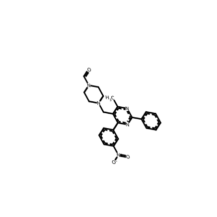 Cc1nc(-c2ccccc2)nc(-c2cccc([N+](=O)[O-])c2)c1CN1CCN(C=O)CC1